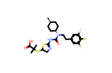 CC(C)(SC1CN=C(NC(=O)N(CCc2cc(F)c(F)c(F)c2)[C@H]2CC[C@H](C)CC2)S1)C(=O)O